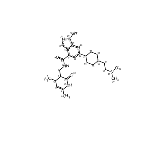 CC1=CC(C)C(CNC(=O)c2cc(C3CCN(CC[S+](C)[O-])CC3)nc3c2cnn3C(C)C)C(=O)N1